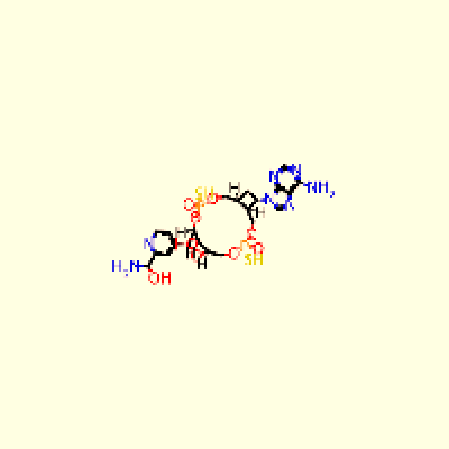 Nc1ncnc2c1ncn2[C@@H]1C[C@@H]2CO[P@](=O)(S)O[C@@H]3[C@H](O)[C@@H](CO[P@](=O)(S)OC[C@H]21)O[C@H]3c1ccnc(C(N)O)c1